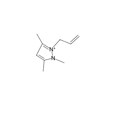 C=CC[n+]1c(C)cc(C)n1C